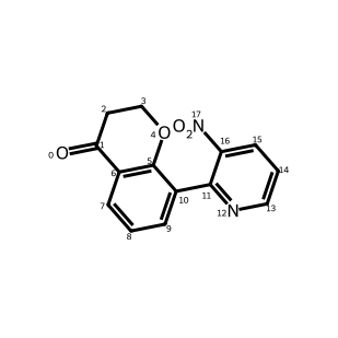 O=C1CCOc2c1cccc2-c1ncccc1[N+](=O)[O-]